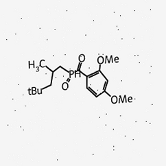 COc1ccc(C(=O)[PH](=O)CC(C)CC(C)(C)C)c(OC)c1